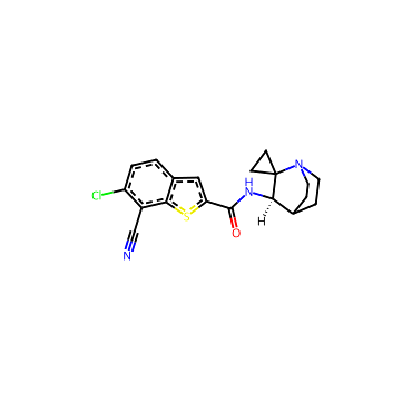 N#Cc1c(Cl)ccc2cc(C(=O)N[C@@H]3C4CCN(CC4)C34CC4)sc12